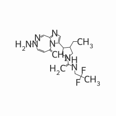 C=C(NCC(C)(F)F)N1CC(CC)C(c2cnc3cnn(N)ccc(=C)n23)C1